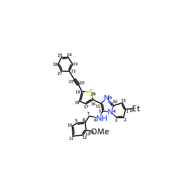 CCc1ccn2c(NCc3ccccc3OC)c(-c3ccc(C#Cc4ccccc4)s3)nc2c1